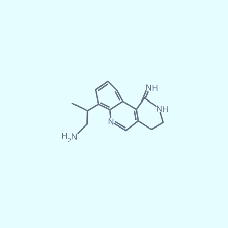 CC(CN)c1cccc2c3c(cnc12)CCNC3=N